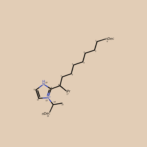 CCCCCCCCCCCCCCCCCC(c1[nH]cc[n+]1C(C)CCCCCCCCCC)C(C)C